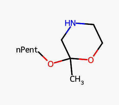 CCCCCOC1(C)CNCCO1